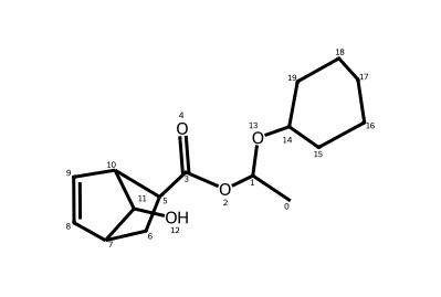 CC(OC(=O)C1CC2C=CC1C2O)OC1CCCCC1